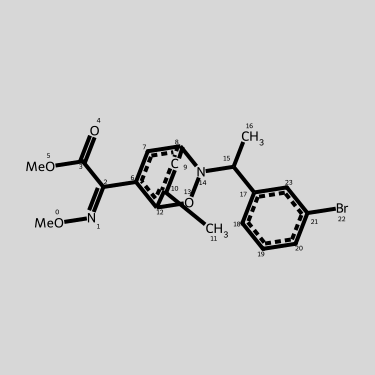 CON=C(C(=O)OC)c1cc2cc(C)c1ON2C(C)c1cccc(Br)c1